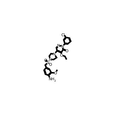 CCOc1c(N2CCN(S(=O)(=O)Cc3ccc(N)c(OC)c3)CC2)cnn(-c2cccc(Cl)c2)c1=O